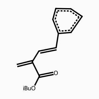 C=C(C=Cc1ccccc1)C(=O)OCC(C)C